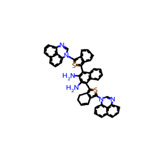 Nc1c(N)c(-c2sc(N3C=Nc4cccc5cccc3c45)c3ccccc23)c2ccccc2c1-c1sc(N2C=Nc3cccc4cccc2c34)c2c1CCC=C2